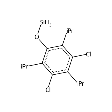 CC(C)c1c(Cl)c(C(C)C)c(O[SiH3])c(C(C)C)c1Cl